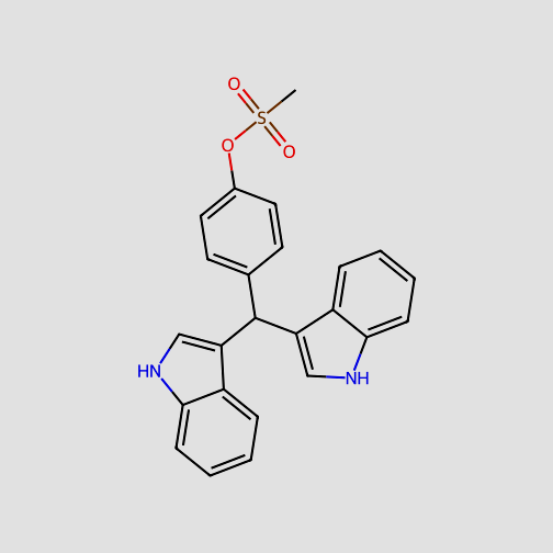 CS(=O)(=O)Oc1ccc(C(c2c[nH]c3ccccc23)c2c[nH]c3ccccc23)cc1